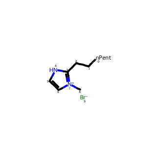 CCCCCCCc1[nH]cc[n+]1C.[Br-]